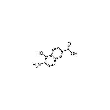 Nc1ccc2cc(C(=O)O)ccc2c1O